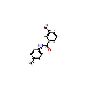 O=C(Nc1ccc(Br)cc1)c1cccc(Br)c1